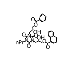 CCCn1c(=O)n(CC(O)COC(=O)c2ccccc2)c(=O)n(CC(O)COC(=O)c2cccc3ccccc23)c1=O